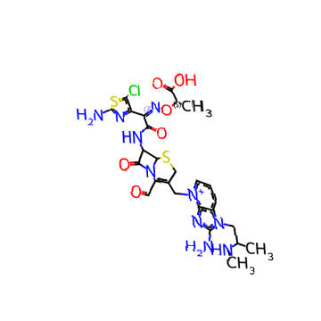 CNC(C)Cn1c(N)nc2c1ccc[n+]2CC1=C(C=O)N2C(=O)C(NC(=O)/C(=N\O[C@@H](C)C(=O)O)c3nc(N)sc3Cl)C2SC1